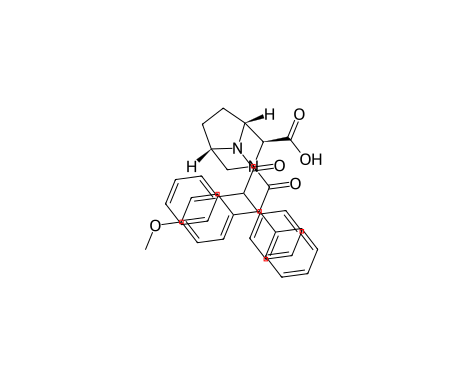 COc1ccc(C(C(=O)N2C[C@@H]3CC[C@H]([C@H]2C(=O)O)N3C(=O)C(c2ccccc2)c2ccccc2)c2ccccc2)cc1